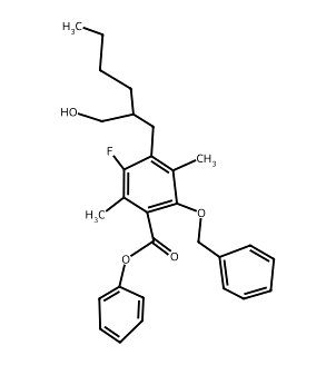 CCCCC(CO)Cc1c(C)c(OCc2ccccc2)c(C(=O)Oc2ccccc2)c(C)c1F